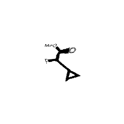 COC(=O)C(F)C1CC1